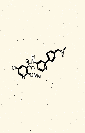 COc1ncc(Cl)cc1S(=O)(=O)Nc1ccnc(-c2ccc(CN(C)C)cc2)c1